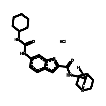 Cl.O=C(Nc1ccc2cc(C(=O)N[C@H]3CN4CCC3CC4)sc2c1)NC1CCCCC1